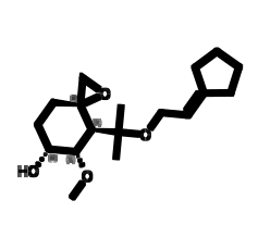 CO[C@@H]1[C@H](O)CC[C@]2(CO2)[C@H]1C(C)(C)OCC=C1CCCC1